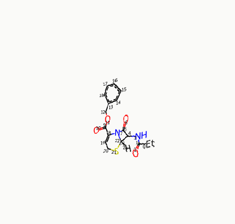 CCC(=O)NC1C(=O)N2C(C(=O)OCc3ccccc3)=CCS[C@@H]12